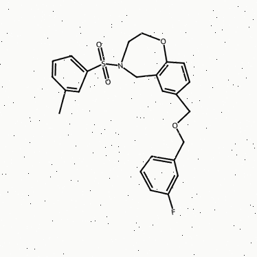 Cc1cccc(S(=O)(=O)N2CCOc3ccc(COCc4cccc(F)c4)cc3C2)c1